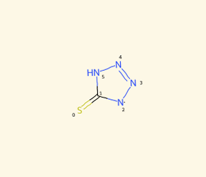 S=C1[N]N=NN1